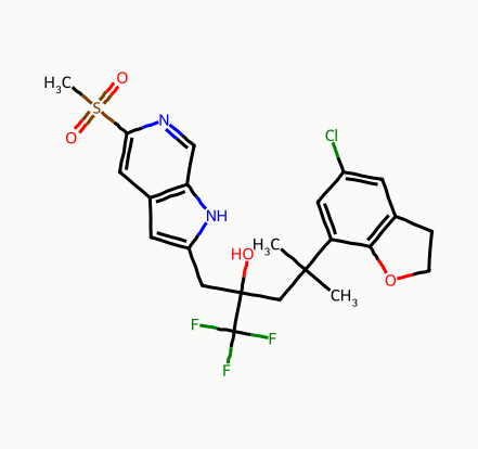 CC(C)(CC(O)(Cc1cc2cc(S(C)(=O)=O)ncc2[nH]1)C(F)(F)F)c1cc(Cl)cc2c1OCC2